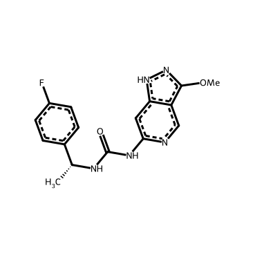 COc1n[nH]c2cc(NC(=O)N[C@H](C)c3ccc(F)cc3)ncc12